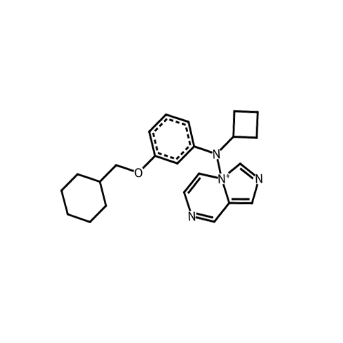 C1=C[N+]2(N(c3cccc(OCC4CCCCC4)c3)C3CCC3)C=NC=C2C=N1